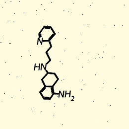 Nc1cccc2c1CCC(NCCCc1ccccn1)C2